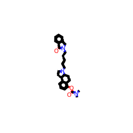 CN(C)C(=O)Oc1cccc2c1CCC1C2CCN1CCCCCN1Cc2ccccc2C1=O